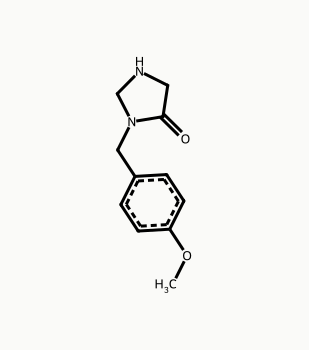 COc1ccc(CN2CNCC2=O)cc1